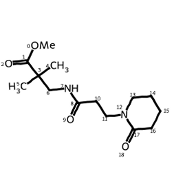 COC(=O)C(C)(C)CNC(=O)CCN1CCCCC1=O